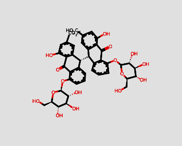 O=C(O)c1cc(O)c2c(c1)C([C@H]1c3cc(C(=O)O)cc(O)c3C(=O)c3c(O[C@@H]4O[C@H](CO)[C@@H](O)[C@H](O)[C@H]4O)cccc31)c1cccc(OC3O[C@H](CO)[C@@H](O)[C@H](O)[C@H]3O)c1C2=O